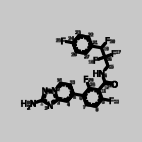 Nc1nc2cc(-c3ccc(F)c(C(=O)NCC(F)(F)C(F)c4ccc(F)cc4)c3F)ccn2n1